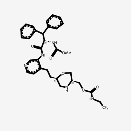 COC(=O)N[C@H](C(=O)Nc1cnccc1CC[C@@H]1CN[C@H](COC(=O)NCC(F)(F)F)CO1)C(c1ccccc1)c1ccccc1